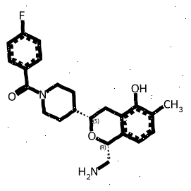 Cc1ccc2c(c1O)C[C@@H](C1CCN(C(=O)c3ccc(F)cc3)CC1)O[C@H]2CN